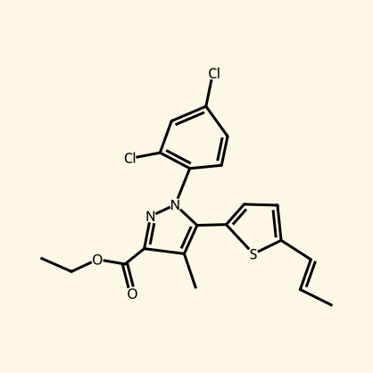 CC=Cc1ccc(-c2c(C)c(C(=O)OCC)nn2-c2ccc(Cl)cc2Cl)s1